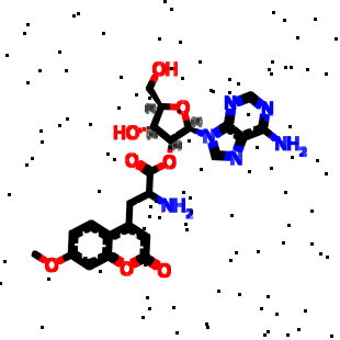 COc1ccc2c(CC(N)C(=O)O[C@@H]3[C@H](O)[C@@H](CO)O[C@H]3n3cnc4c(N)ncnc43)cc(=O)oc2c1